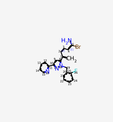 C=C(/C=C\C=C(/N)Br)c1cc(-c2ccccn2)nn1Cc1ccccc1F